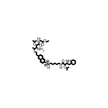 CCOC(=O)[C@@H](C)NC(=O)C(OC(C)C)[C@@H](N)C(C)SCCc1ccc2cc(S(=O)(=O)NCCCCCNC(=O)C(OC(C)C)C(N)CC3CCCCC3)ccc2c1